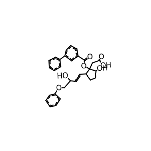 O=C(O)CC1(OC(=O)c2cccc(-c3ccccc3)c2)C(O)CCC1C=CC(O)COc1ccccc1